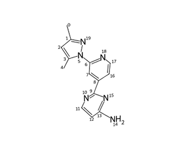 Cc1cc(C)n(-c2cc(-c3nccc(N)n3)ccn2)n1